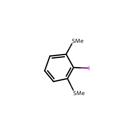 CSc1cccc(SC)c1I